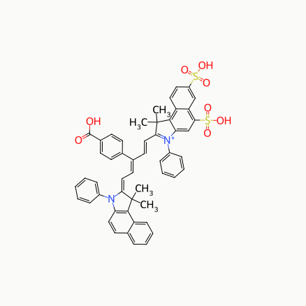 CC1(C)C(/C=C/C(=C/C=C2/N(c3ccccc3)c3ccc4ccccc4c3C2(C)C)c2ccc(C(=O)O)cc2)=[N+](c2ccccc2)c2cc(S(=O)(=O)O)c3cc(S(=O)(=O)O)ccc3c21